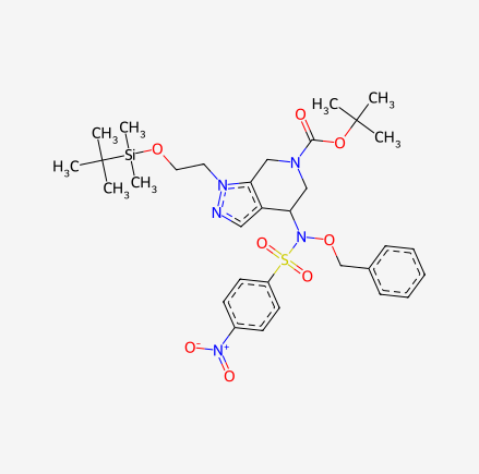 CC(C)(C)OC(=O)N1Cc2c(cnn2CCO[Si](C)(C)C(C)(C)C)C(N(OCc2ccccc2)S(=O)(=O)c2ccc([N+](=O)[O-])cc2)C1